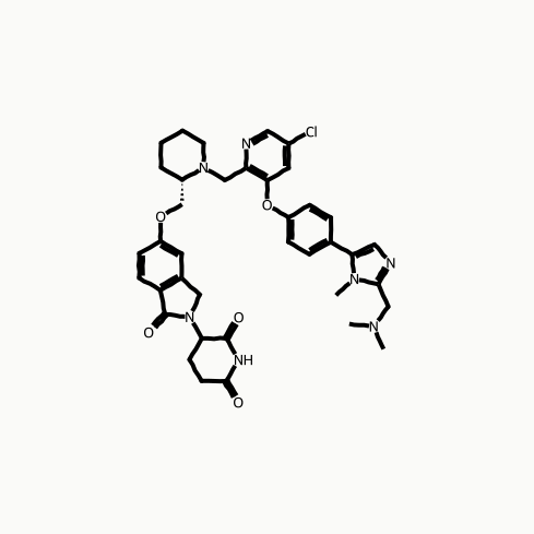 CN(C)Cc1ncc(-c2ccc(Oc3cc(Cl)cnc3CN3CCCC[C@H]3COc3ccc4c(c3)CN(C3CCC(=O)NC3=O)C4=O)cc2)n1C